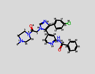 CN1CCN(C(=O)Cn2cnc(-c3ccc(Cl)cc3)c2-c2ccnc(NC(=O)c3ccccc3)c2)CC1